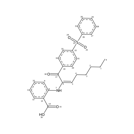 CCCCCC=C(Nc1ccccc1C(=O)O)C(=O)c1ccc(S(=O)(=O)c2ccccc2)cc1